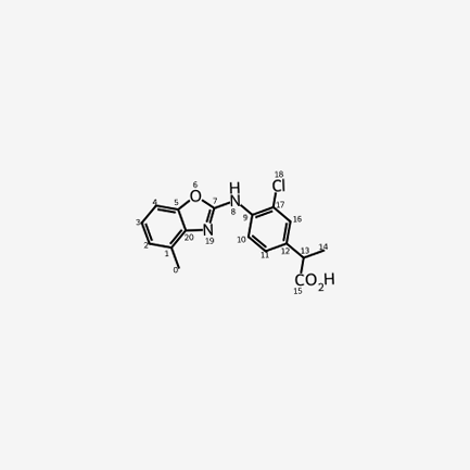 Cc1cccc2oc(Nc3ccc(C(C)C(=O)O)cc3Cl)nc12